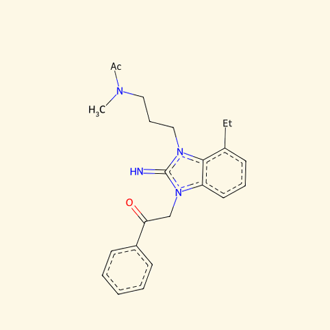 CCc1cccc2c1n(CCCN(C)C(C)=O)c(=N)n2CC(=O)c1ccccc1